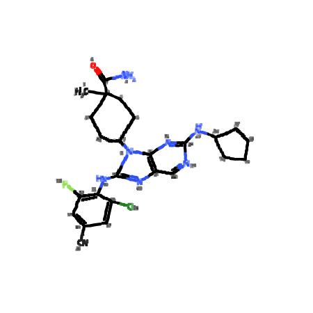 CC1(C(N)=O)CCC(n2c(Nc3c(F)cc(C#N)cc3Cl)nc3cnc(NC4CCCC4)nc32)CC1